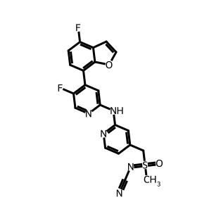 CS(=O)(Cc1ccnc(Nc2cc(-c3ccc(F)c4ccoc34)c(F)cn2)c1)=NC#N